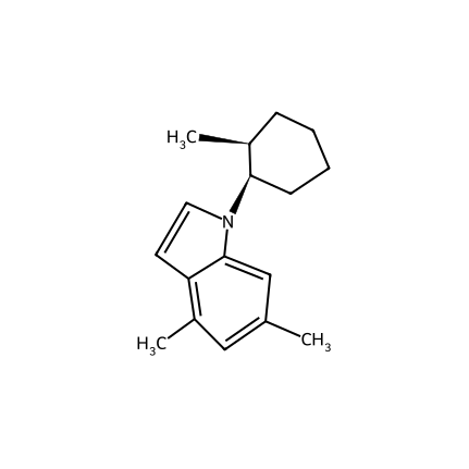 Cc1cc(C)c2ccn([C@@H]3CCCC[C@@H]3C)c2c1